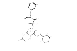 CC(C)C[C@H](CNC(C)(C)C(=O)C1C(=O)C1c1ccccc1)NC(=O)OCC1CCCCC1